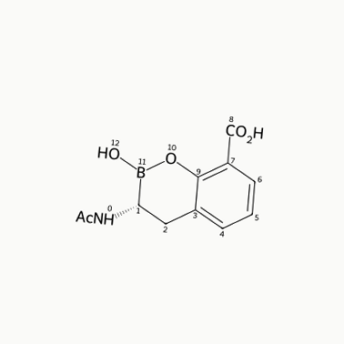 CC(=O)N[C@H]1Cc2cccc(C(=O)O)c2OB1O